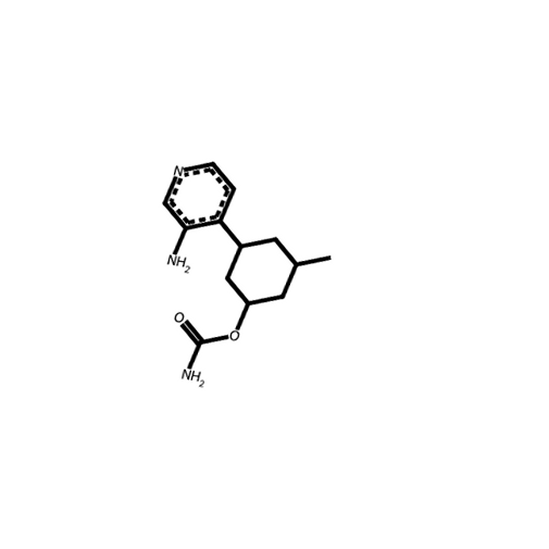 CC1CC(OC(N)=O)CC(c2ccncc2N)C1